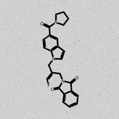 O=C(c1ccc2c(ccn2C/C(=C/F)CN2C(=O)c3ccccc3C2=O)c1)N1CCCC1